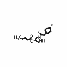 CCCCC(=O)O[C@H]1CNN(C(=O)Cc2ccc(F)cc2)C1